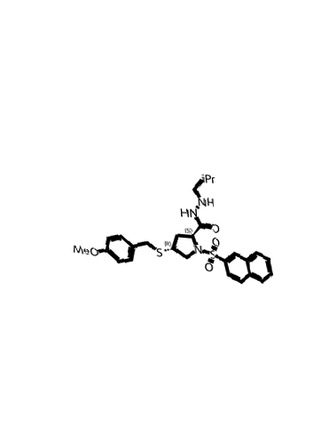 COc1ccc(CS[C@@H]2C[C@@H](C(=O)NNCC(C)C)N(S(=O)(=O)c3ccc4ccccc4c3)C2)cc1